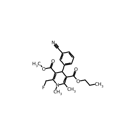 CCCOC(=O)C1=C(C)N(C)C(CF)=C(C(=O)OC)C1c1cccc(C#N)c1